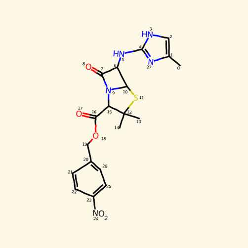 Cc1c[nH]c(NC2C(=O)N3C2SC(C)(C)C3C(=O)OCc2ccc([N+](=O)[O-])cc2)n1